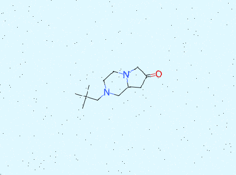 CC(C)(C)CN1CCN2CC(=O)CC2C1